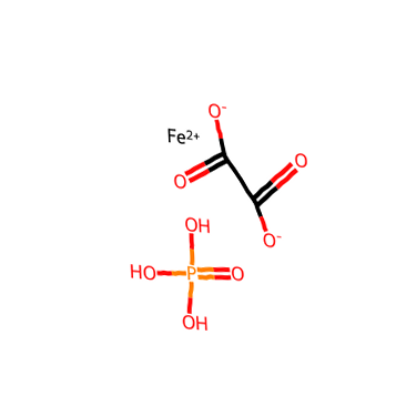 O=C([O-])C(=O)[O-].O=P(O)(O)O.[Fe+2]